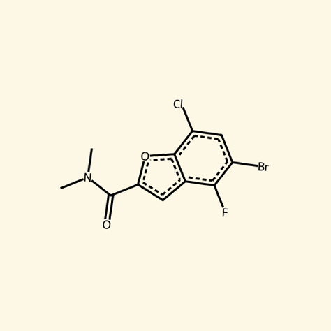 CN(C)C(=O)c1cc2c(F)c(Br)cc(Cl)c2o1